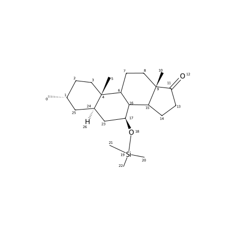 C[C@@H]1CC[C@]2(C)C3CC[C@]4(C)C(=O)CCC4C3[C@@H](O[Si](C)(C)C)C[C@H]2C1